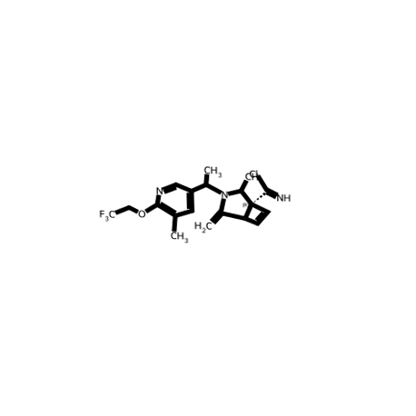 C=C1C2C=C[C@]2(C(=N)Cl)C(C)N1C(C)c1cnc(OCC(F)(F)F)c(C)c1